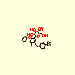 CCc1ccc(Cc2cc([C@@H]3O[C@H](CO)[C@@H](O)[C@H](O)[C@H]3O)c(OC3CCCC3)cc2C)cc1